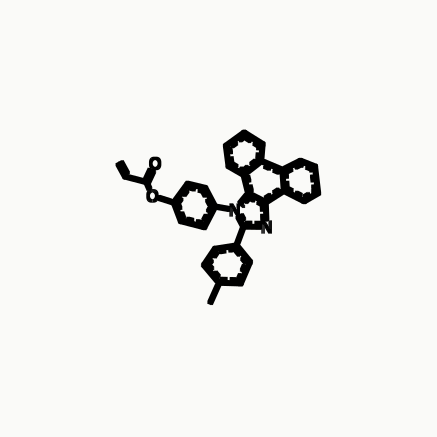 C=CC(=O)Oc1ccc(-n2c(-c3ccc(C)cc3)nc3c4ccccc4c4ccccc4c32)cc1